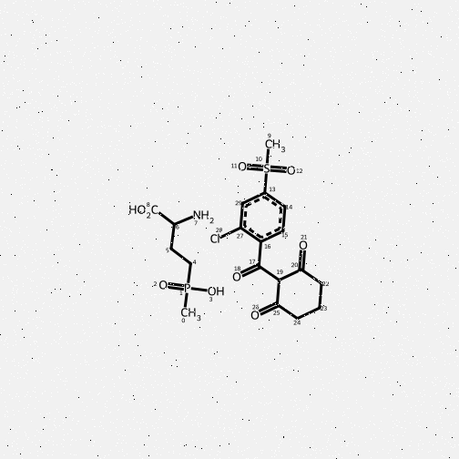 CP(=O)(O)CCC(N)C(=O)O.CS(=O)(=O)c1ccc(C(=O)C2C(=O)CCCC2=O)c(Cl)c1